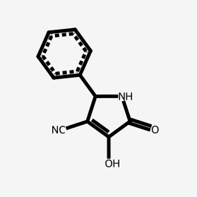 N#CC1=C(O)C(=O)NC1c1ccccc1